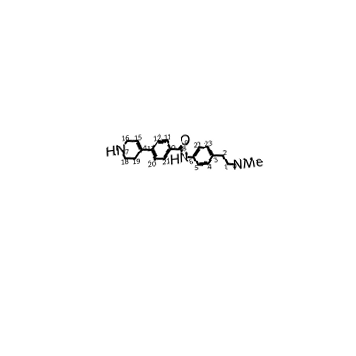 CNCCc1ccc(NC(=O)c2ccc(C3=CCNCC3)cc2)cc1